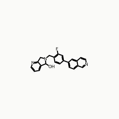 OC1c2cccnc2CN1Cc1ccc(-c2ccc3cnccc3c2)cc1F